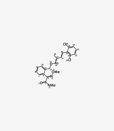 CNC(=O)/C(=N/OC)c1ccccc1CO/[As]=C(C)/C=C/c1c(Cl)cccc1Cl